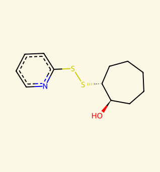 O[C@@H]1CCCCC[C@H]1SSc1ccccn1